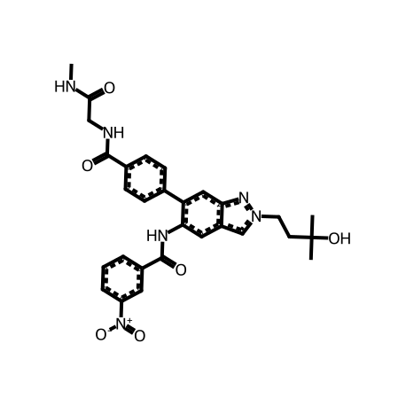 CNC(=O)CNC(=O)c1ccc(-c2cc3nn(CCC(C)(C)O)cc3cc2NC(=O)c2cccc([N+](=O)[O-])c2)cc1